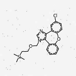 C[Si](C)(C)CCOCn1cnc2c1-c1ccccc1Oc1ccc(Cl)cc1-2